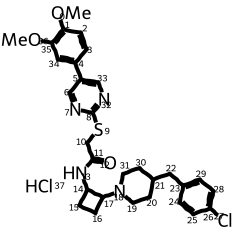 COc1ccc(-c2cnc(SCC(=O)NC3CCC3N3CCC(Cc4ccc(Cl)cc4)CC3)nc2)cc1OC.Cl